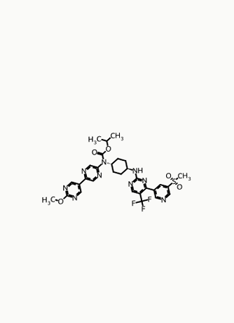 COc1ncc(-c2cnc(N(C(=O)OC(C)C)[C@H]3CC[C@H](Nc4ncc(C(F)(F)F)c(-c5cncc(S(C)(=O)=O)c5)n4)CC3)cn2)cn1